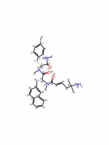 CNC(=O)[C@@H](Cc1ccc(F)cc1)N(C)C(=O)[C@@H](Cc1ccc2ccccc2c1)N(C)C(=O)C=CCC(C)(C)N